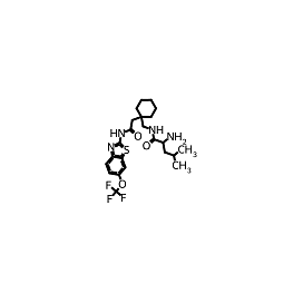 CC(C)CC(N)C(=O)NCC1(CC(=O)Nc2nc3ccc(OC(F)(F)F)cc3s2)CCCCC1